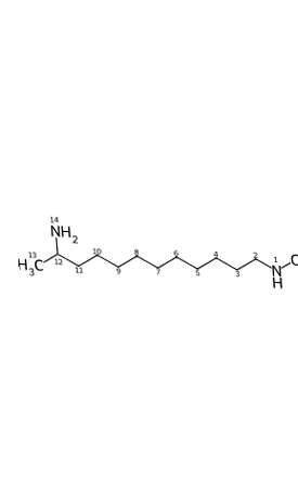 CNCCCCCCCCCCC(C)N